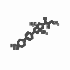 CCNC(=O)N1C[C@@]2(C)CN(c3ccc(N4CCS(O)(O)CC4)cc3)C[C@@]2(C)C1